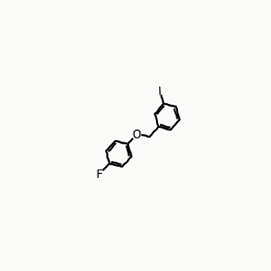 Fc1ccc(OCc2cccc(I)c2)cc1